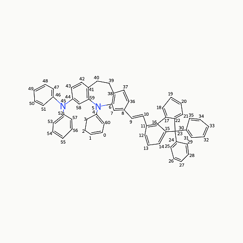 C1=CCCC(N2c3cc(/C=C/c4cccc5c4-c4ccccc4C5(c4ccccc4)c4ccccc4)ccc3CCc3ccc(N(c4ccccc4)c4ccccc4)cc32)=C1